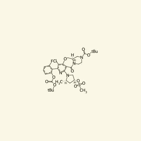 C[C@H]1C[C@@H](OS(C)(=O)=O)CN1c1nc(-c2c(F)cccc2OC(=O)OC(C)(C)C)c(Cl)c2c1C(=O)N1CCN(C(=O)OC(C)(C)C)C[C@@H]1CO2